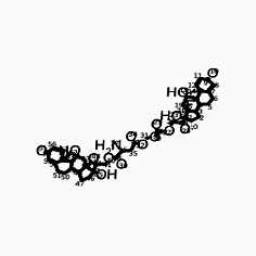 C[C@H]1CC2C3CCC4=CC(=O)C=C[C@@]4(C)[C@@]3(F)[C@@H](O)C[C@]2(C)[C@@]1(O)C(=O)COC(=O)OCOC(=O)C[C@@H](N)C(=O)OCC(=O)C1(O)CCC2C3CCC4=CC(=O)C=CC4(C)C3C(O)CC21C